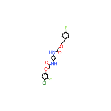 O=C(COCCc1ccc(F)cc1)NC12CC(NC(=O)COc3ccc(Cl)c(F)c3)(C1)C2